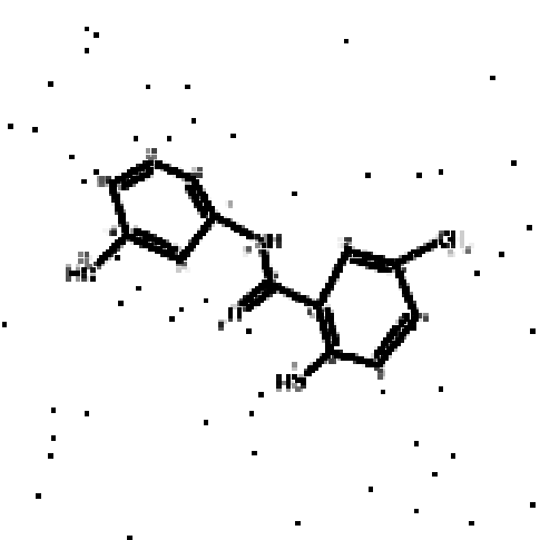 Cc1ccc(O)c(C(=O)Nc2cccc(O)c2)c1